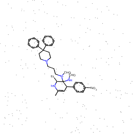 CCC1NC(C)=CC(c2ccc([N+](=O)[O-])cc2)C1(NC=O)N(C=O)CCCN1CCC(c2ccccc2)(c2ccccc2)CC1